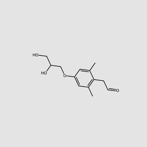 Cc1cc(OCC(O)CO)cc(C)c1CC=O